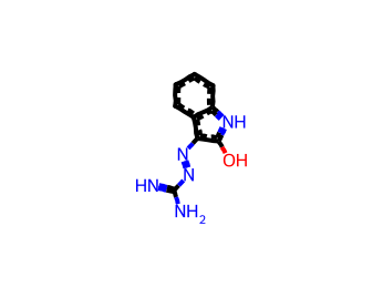 N=C(N)/N=N/c1c(O)[nH]c2ccccc12